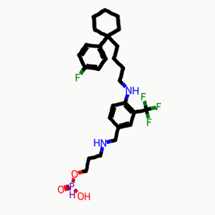 O=[PH](O)OCCCNCc1ccc(NCCCCC2(c3ccc(F)cc3)CCCCC2)c(C(F)(F)F)c1